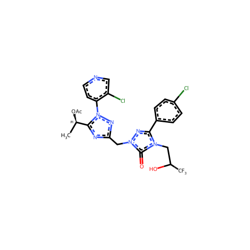 CC(=O)O[C@H](C)c1nc(Cn2nc(-c3ccc(Cl)cc3)n(CC(O)C(F)(F)F)c2=O)nn1-c1ccncc1Cl